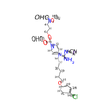 CC(C)(C)ON(C=O)CCCOC(OC=O)[n+]1ccc(N(CCCCCCOc2ccc(Cl)cc2)C(N)=NC#N)cc1.[I-]